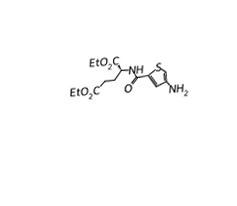 CCOC(=O)CC[C@H](NC(=O)c1cc(N)cs1)C(=O)OCC